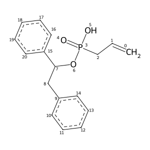 C=CCP(=O)(O)OC(Cc1ccccc1)c1ccccc1